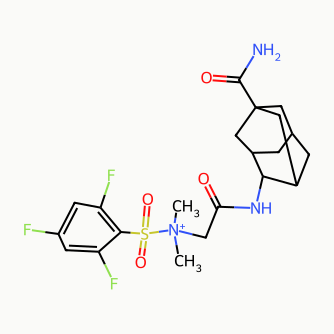 C[N+](C)(CC(=O)NC1C2CC3CC1CC(C(N)=O)(C3)C2)S(=O)(=O)c1c(F)cc(F)cc1F